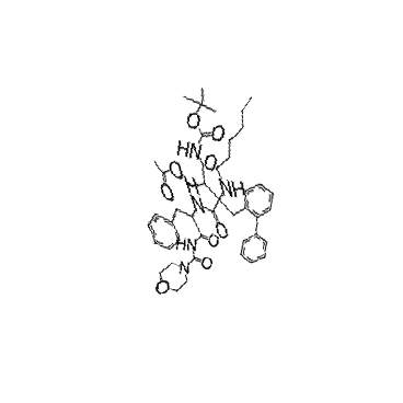 CCCCCC(=O)NC(Cc1ccccc1-c1ccccc1)(C(=O)NC(Cc1ccccc1)C(=O)NC(=O)N1CCOCC1)C(CNC(=O)OC(C)(C)C)COC(C)=O